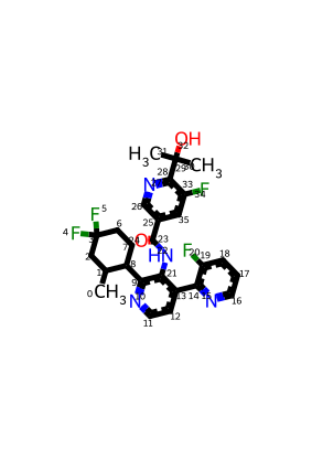 CC1CC(F)(F)CCC1c1nccc(-c2ncccc2F)c1NC(=O)c1cnc(C(C)(C)O)c(F)c1